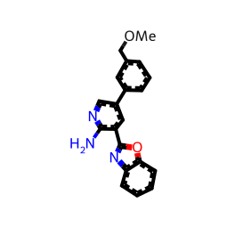 COCc1cccc(-c2cnc(N)c(-c3nc4ccccc4o3)c2)c1